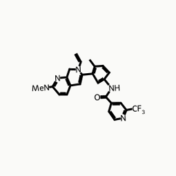 C=CN1Cc2nc(NC)ccc2C=C1c1cc(NC(=O)c2ccnc(C(F)(F)F)c2)ccc1C